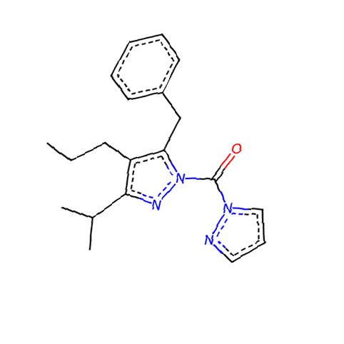 CCCc1c(C(C)C)nn(C(=O)n2cccn2)c1Cc1ccccc1